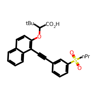 CCCS(=O)(=O)c1cccc(C#Cc2c(OC(C(=O)O)C(C)(C)C)ccc3ccccc23)c1